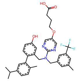 Cc1cc(CN(Cc2cc(O)ccc2-c2cc(C(C)C)ccc2C)c2ncc(OCCCC(=O)O)cn2)cc(C(F)(F)F)c1